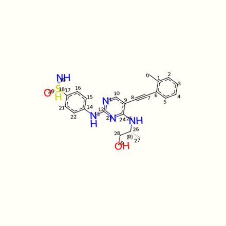 Cc1ccccc1C#Cc1cnc(Nc2ccc([SH](=N)=O)cc2)nc1N[C@H](C)CO